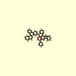 c1ccc(-c2ccc(N(c3ccc(-c4ccccc4-c4cccc5ccccc45)cc3)c3ccccc3-c3cccc4c3sc3ccccc34)cc2)cc1